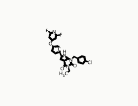 CCn1c(=O)c2cc(-c3ccc(Oc4cc(F)nc(F)c4)cc3)[nH]c2n(Cc2ccc(Cl)cc2)c1=O